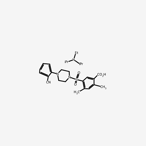 CCN(C(C)C)C(C)C.Cc1cc(C)c(S(=O)(=O)N2CCN(c3ccccc3C#N)CC2)cc1C(=O)O